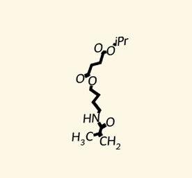 C=C(C)C(=O)NCCCCOC(=O)CCC(=O)OC(C)C